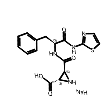 O=C(Nc1nccs1)[C@H](Cc1ccccc1)NC(=O)[C@H]1N[C@@H]1C(=O)O.[NaH]